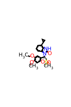 CCOc1cc([C@@H](CS(C)(=O)=O)n2c(=O)[nH]c3c(C4CC4)cccc32)ccc1OC